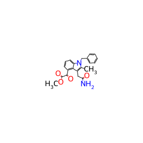 COC(=O)C(=O)c1cccc2c1c(CC(N)=O)c(C)n2Cc1ccccc1